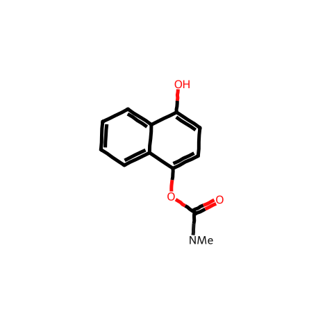 CNC(=O)Oc1ccc(O)c2ccccc12